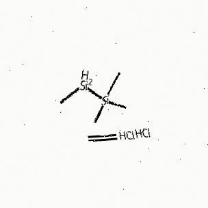 C=C.C[SiH2][Si](C)(C)C.Cl.Cl